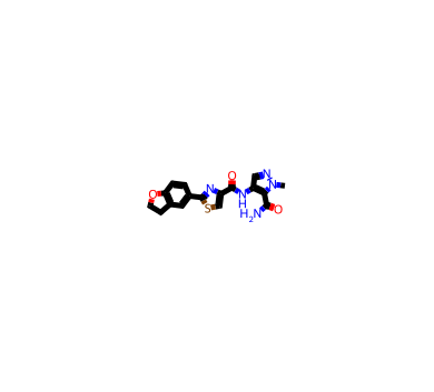 Cn1ncc(NC(=O)c2csc(-c3ccc4c(c3)CCO4)n2)c1C(N)=O